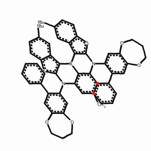 Cc1cc2c3c(c1)N(c1cc4c(cc1-c1ccccc1)OCCCO4)c1sc4ccc(C(C)(C)C)cc4c1B3c1c(sc3ccc(C(C)(C)C)cc13)N2c1cc2c(cc1-c1ccccc1)OCCCO2